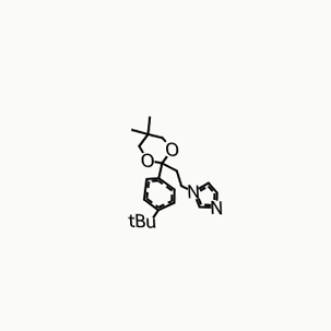 CC1(C)COC(CCn2ccnc2)(c2ccc(C(C)(C)C)cc2)OC1